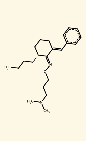 CCCC[C@@H]1CCCC(=C\c2ccccc2)/C1=N/OCCCN(C)C